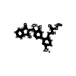 C[C@H](c1ccc(-c2cc(C(F)(F)F)ccc2CNC(=O)OC(C)(C)C)cc1Cl)N1C(=O)c2ccccc2C1=O